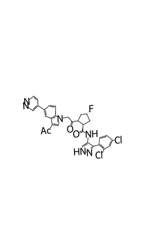 CC(=O)c1cn(CC(=O)C2C[C@H](F)C[C@H]2C(=O)Nc2c[nH]nc2-c2ccc(Cl)cc2Cl)c2ccc(-c3ccnnc3)cc12